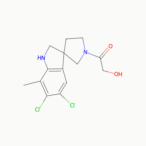 Cc1c(Cl)c(Cl)cc2c1NCC21CCN(C(=O)CO)C1